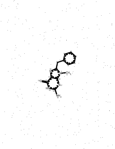 Cn1c(Cc2ccccc2)nc2c(=O)[nH]c(N)nc21